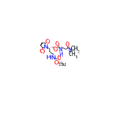 CN(C)C(=O)CCNC(=O)OC[C@H](CCNC(=O)OC(C)(C)C)N1C(=O)C=CC1=O